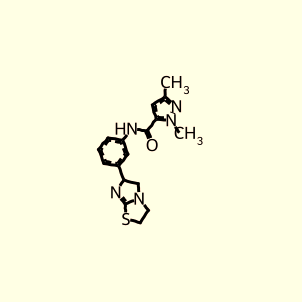 Cc1cc(C(=O)Nc2cccc(C3CN4CCSC4=N3)c2)n(C)n1